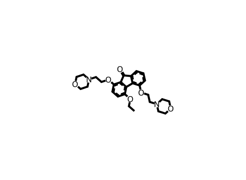 CCOc1ccc(OCCN2CCOCC2)c2c1-c1c(OCCN3CCOCC3)cccc1C2=O